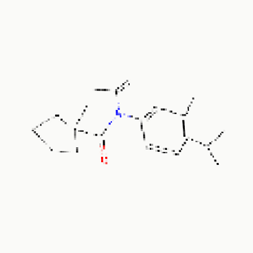 C=C(C)N(C(=O)C1(C)CCCC1)c1ccc(C(C)C)c(C)c1